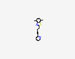 Cc1ccc(C)c2sc(CCC#Cc3ccccn3)nc12